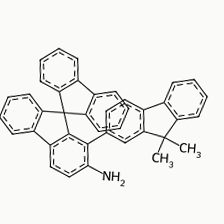 CC1(C)c2ccccc2-c2ccc(-c3c(N)ccc4c3C3(c5ccccc5-c5ccccc53)c3ccccc3-4)cc21